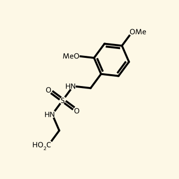 COc1ccc(CNS(=O)(=O)NCC(=O)O)c(OC)c1